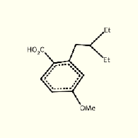 CCC(CC)Cc1cc(OC)ccc1C(=O)O